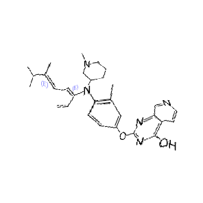 C=C/C(=C\C=C(/C)C(C)C)N(c1ccc(Oc2nc(O)c3ccncc3n2)cc1C)C1CCCN(C)C1